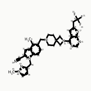 Cc1c(CN2CCC3(CC2)CN(c2ncnc4sc(CC(F)(F)F)cc24)C3)ccc2c1cc(C#N)n2Cc1ccn(C)n1